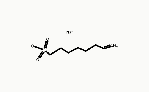 C=CCCCCCCS(=O)(=O)[O-].[Na+]